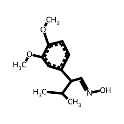 COc1ccc(C(C=NO)C(C)C)cc1OC